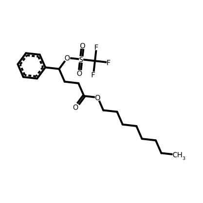 CCCCCCCCOC(=O)CCC(OS(=O)(=O)C(F)(F)F)c1ccccc1